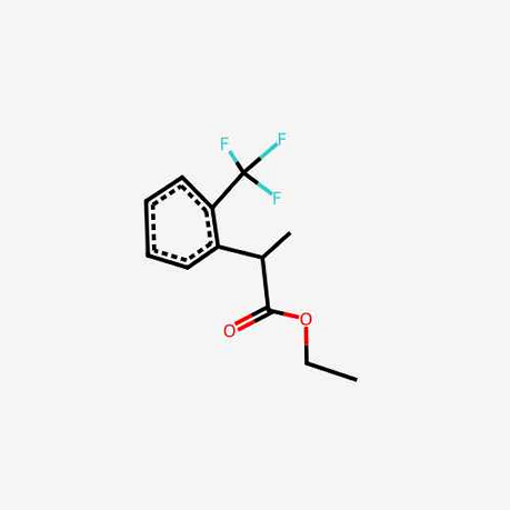 CCOC(=O)C(C)c1ccccc1C(F)(F)F